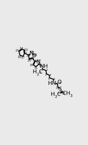 C=C(CCCCCNC(=O)CSC(=C)C)NC1=NC(c2cc(C3=CC=CCC3)no2)=CC1